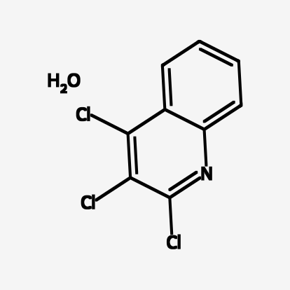 Clc1nc2ccccc2c(Cl)c1Cl.O